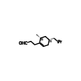 CC(C)C[C@@H]1CC=C(CCC=O)[C@H](C)C1